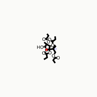 C/C=C(/COC(=O)CC)C(C)(OC(=O)CC)[C@H](OC(=O)CC)C(C)(OC(=O)CC)[C@H](O)OC